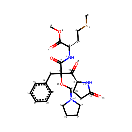 COC(=O)[C@H](CCSC)NC(=O)C(Cc1ccccc1)(OCN1CCCC1)C(=O)[C@@H]1CCC(=O)N1